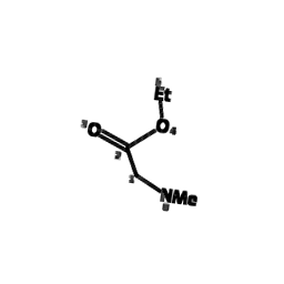 [C]NCC(=O)OCC